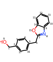 OCc1ccc(Cc2nc3ccccc3o2)cc1